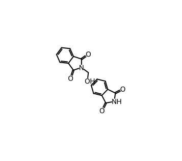 O=C1NC(=O)c2ccccc21.O=C1c2ccccc2C(=O)N1CO